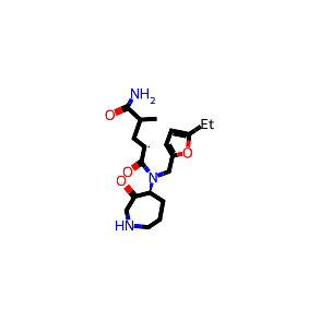 CCc1ccc(CN(C(=O)[CH]CC(C)C(N)=O)[C@H]2CCCNCC2=O)o1